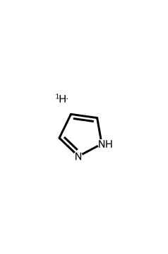 [1H].c1cn[nH]c1